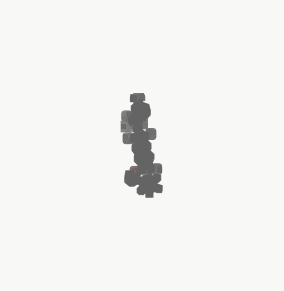 Cc1c(C)c(C)c(N2C(=O)c3cc4cc5c(cc4cc3C2=O)C(=O)C(c2nc3ccc(N(C)C)cc3c(=O)[nH]2)C5=O)c(C2=CC=CC2)c1C